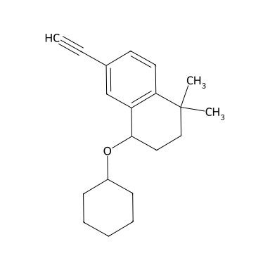 C#Cc1ccc2c(c1)C(OC1CCCCC1)CCC2(C)C